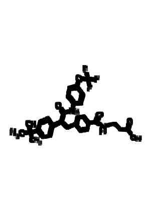 CC(C)(C)c1ccc(C(Cc2ccc(C(=O)NCCC(=O)O)cc2)C(=O)Nc2ccc(OC(F)(F)F)cc2)cc1